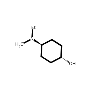 CCN(C)[C@H]1CC[C@H](O)CC1